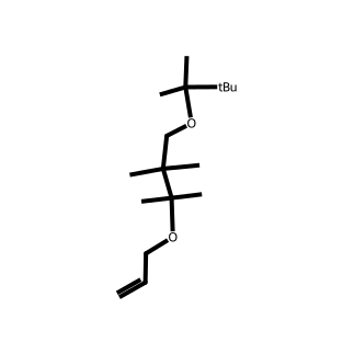 C=CCOC(C)(C)C(C)(C)COC(C)(C)C(C)(C)C